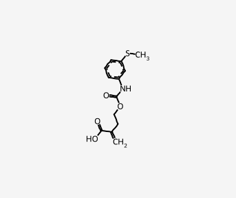 C=C(CCOC(=O)Nc1cccc(SC)c1)C(=O)O